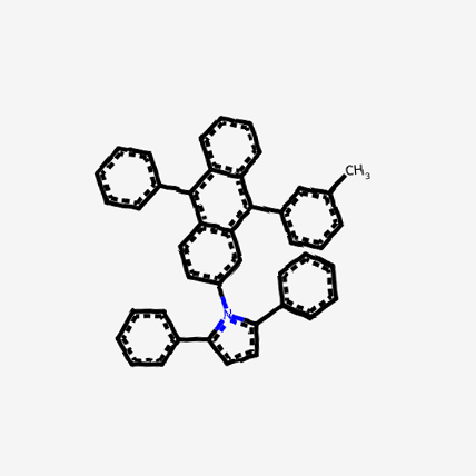 Cc1cccc(-c2c3ccccc3c(-c3ccccc3)c3ccc(-n4c(-c5ccccc5)ccc4-c4ccccc4)cc23)c1